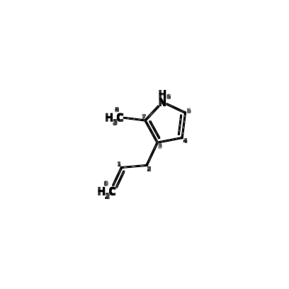 C=CCc1cc[nH]c1C